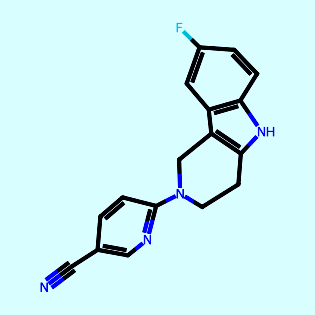 N#Cc1ccc(N2CCc3[nH]c4ccc(F)cc4c3C2)nc1